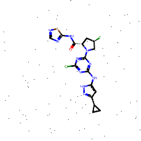 O=C(Nc1ncns1)[C@@H]1C[C@@H](F)CN1c1nc(Cl)nc(Nc2cc(C3CC3)n[nH]2)n1